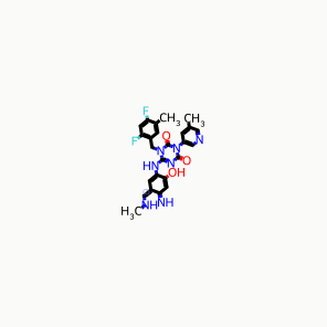 CN/C=C1/C=C(Nc2nc(=O)n(-c3cncc(C)c3)c(=O)n2Cc2cc(C)c(F)cc2F)C(O)=CC1=N